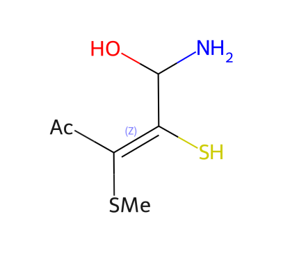 CS/C(C(C)=O)=C(\S)C(N)O